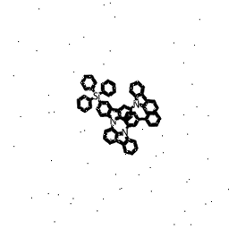 c1ccc(-c2cccc(-n3c4ccccc4c4cccc(-n5c6ccc(-n7c8ccccc8c8ccccc87)cc6c6cc([Si](c7ccccc7)(c7ccccc7)c7ccccc7)ccc65)c43)c2)cc1